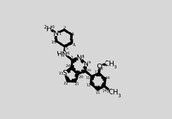 [2H]N1CCC[C@@H](Nc2nnc(-c3ccc(C)cc3OC)c3ccsc23)C1